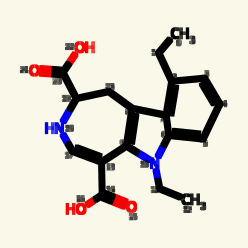 CCc1cccc2c1c1c(n2CC)C(C(=O)O)=CNC(C(=O)O)C1